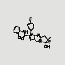 C[C@H](Cc1ncc2cc(C(=O)Nc3ccccc3Cl)n(-c3ccc(F)cc3)c2n1)C(C)(C)O